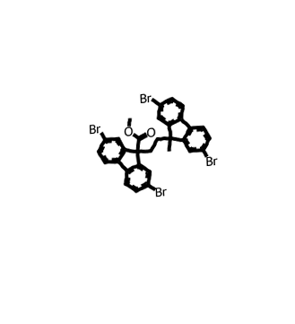 COC(=O)C1(CCC2(C)c3cc(Br)ccc3-c3ccc(Br)cc32)c2cc(Br)ccc2-c2ccc(Br)cc21